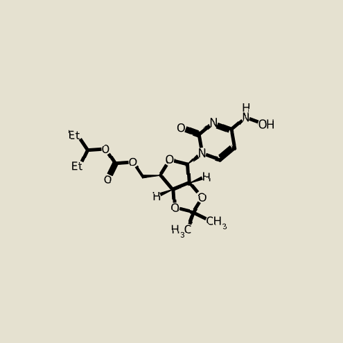 CCC(CC)OC(=O)OC[C@H]1O[C@@H](n2ccc(NO)nc2=O)[C@@H]2OC(C)(C)O[C@@H]21